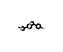 CCc1ccc(-c2cnn3cc(-c4cnn(C)c4)ncc23)cc1